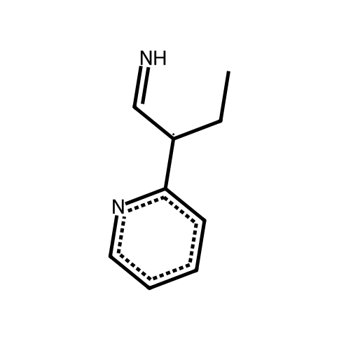 CC[C](C=N)c1ccccn1